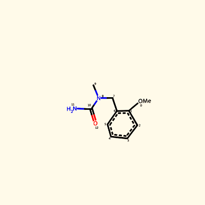 COc1ccccc1CN(C)C(N)=O